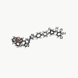 N#Cc1cnn2cc(-c3cnn(C4CCC(N5CCN(c6ccc(N[C@@H]7CCC(=O)NC7=O)cc6F)CC5)CC4)c3)nc(-c3ccc(N4CC5CC(C4)N5C(=O)c4c(F)cccc4F)nc3)c12